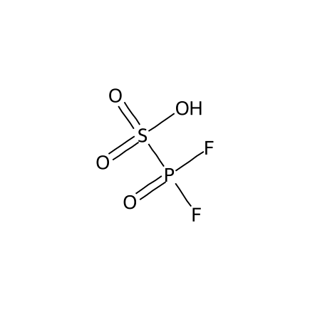 O=P(F)(F)S(=O)(=O)O